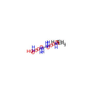 CC(C)(C)OC(=O)NCCOCCOCCNC(=O)NCCCCNC(=O)NCCOCCOCCNC(=O)O